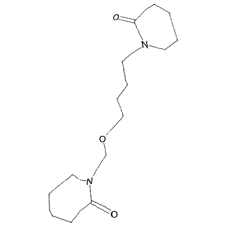 O=C1CCCCN1CCCCOCN1CCCCC1=O